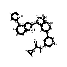 O=C(Nc1cncc(-c2cnc3[nH]nc(-c4cc5c(-c6cccs6)cccc5[nH]4)c3c2)c1)C1CC1